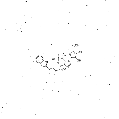 CC(=O)N1C2N([C@@H]3O[C@H](CO)C(O)C3O)C=NC2(C(C)=O)C(N[C@H](C)CSc2nc3ccccc3s2)=NC1(F)C(C)=O